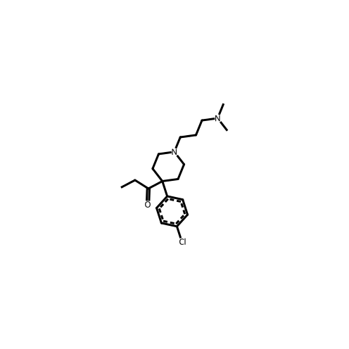 CCC(=O)C1(c2ccc(Cl)cc2)CCN(CCCN(C)C)CC1